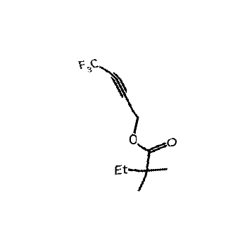 CCC(C)(C)C(=O)OCC#CC(F)(F)F